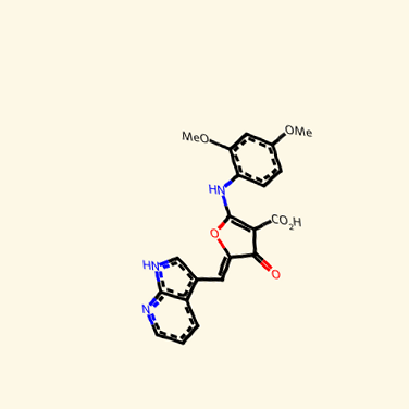 COc1ccc(NC2=C(C(=O)O)C(=O)C(=Cc3c[nH]c4ncccc34)O2)c(OC)c1